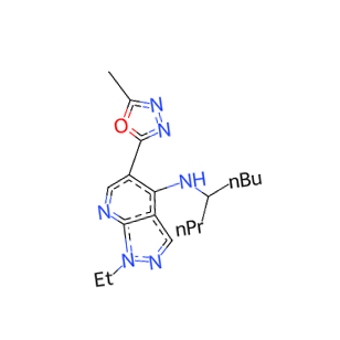 CCCCC(CCC)Nc1c(-c2nnc(C)o2)cnc2c1cnn2CC